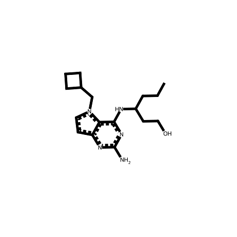 CCCC(CCO)Nc1nc(N)nc2ccn(CC3CCC3)c12